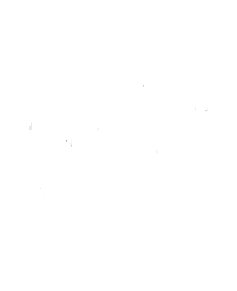 CCCn1c(C)cc2cc(C(C)(C)C)ccc21